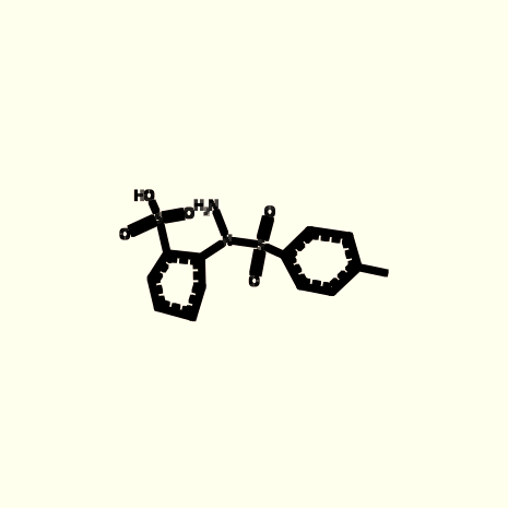 Cc1ccc(S(=O)(=O)N(N)c2ccccc2S(=O)(=O)O)cc1